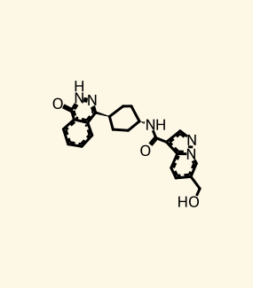 O=C(N[C@H]1CC[C@H](c2n[nH]c(=O)c3ccccc32)CC1)c1cnn2cc(CO)ccc12